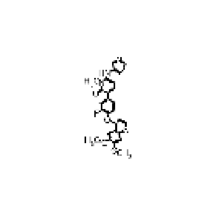 COc1cc2nccc(Oc3ccc(-c4ccc(Nc5cccnc5)n(C)c4=O)cc3F)c2cc1OC